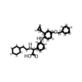 O=C(O)C(NCCC1CCCCC1)c1cccc(Nc2ccc(OCc3ccccc3)cc2C2CC2)c1